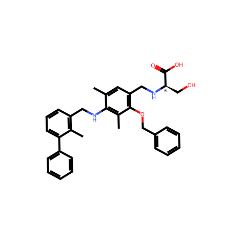 Cc1cc(CN[C@H](CO)C(=O)O)c(OCc2ccccc2)c(C)c1NCc1cccc(-c2ccccc2)c1C